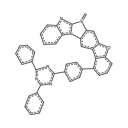 C=[Si]1c2cc3oc4cccc(-c5ccc(-c6nc(-c7ccccc7)nc(-c7ccccc7)n6)cc5)c4c3cc2-n2c1nc1ccccc12